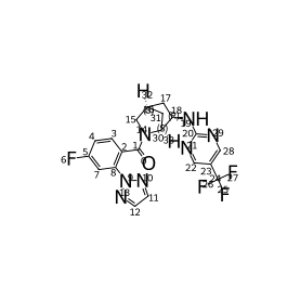 O=C(c1ccc(F)cc1-n1nccn1)N1C[C@H]2C[C@@H](Nc3ncc(C(F)(F)F)cn3)[C@@H]1C2